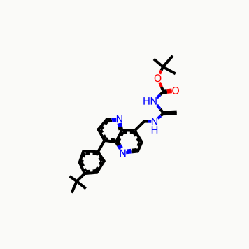 C=C(NCc1ccnc2c(-c3ccc(C(C)(C)C)cc3)ccnc12)NC(=O)OC(C)(C)C